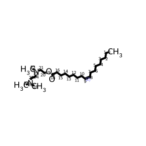 CCCCCCCC/C=C\CCCCCCCC(=O)OCCN(C)CCN(C)C